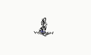 CS(=O)(=O)c1ccc2nc(/N=N/c3c(O)cccc3S)sc2c1